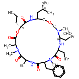 CCCC[C@@H](C)CC1COCN(C)[C@@](C=O)(CC(C)C)NC(CC(C)C)C(=O)N(C)C(Cc2ccccc2)C(=O)NC(CC)C(=O)N(C)C(C)C(=O)O[C@H](CCC#N)C(=O)N1